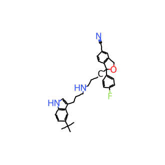 CC(C)(C)c1ccc2[nH]cc(CCCNCCCCC3(c4ccc(F)cc4)OCc4cc(C#N)ccc43)c2c1